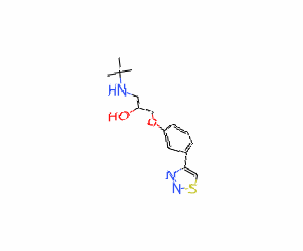 CC(C)(C)NCC(O)COc1cccc(-c2csnn2)c1